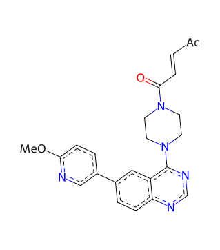 COc1ccc(-c2ccc3ncnc(N4CCN(C(=O)C=CC(C)=O)CC4)c3c2)cn1